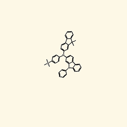 CC1(C)c2ccccc2-c2ccc(N(c3ccc([Si](C)(C)C)cc3)c3ccc4c5ccccc5n(-c5ccccc5)c4c3)cc21